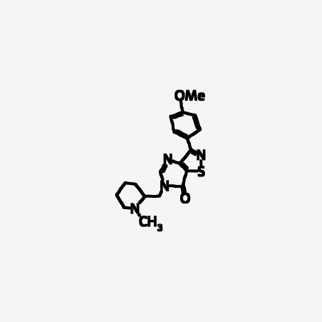 COc1ccc(-c2nsc3c(=O)n(CC4CCCCN4C)cnc23)cc1